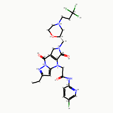 CCc1cc2n(CC(=O)Nc3ccc(F)cn3)c3c(c(=O)n2n1)CN(C[C@H]1CN(CCC(F)(F)F)CCO1)C3=O